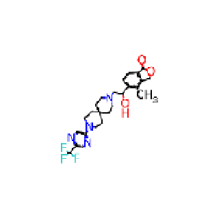 Cc1c([C@@H](O)CN2CCC3(CC2)CCN(c2cnc(C(F)(F)F)cn2)CC3)ccc2c1COC2=O